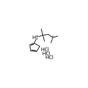 CP(C)C[C](C)(C)[Hf][C]1=CC=CC1.Cl.Cl.Cl